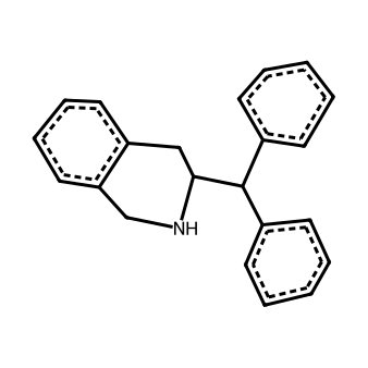 c1ccc(C(c2ccccc2)C2Cc3ccccc3CN2)cc1